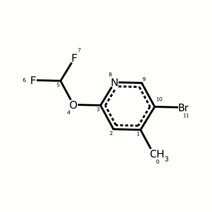 Cc1cc(OC(F)F)ncc1Br